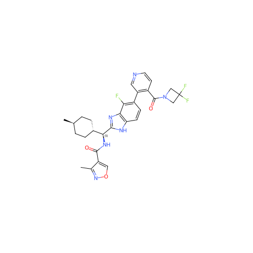 Cc1nocc1C(=O)N[C@H](c1nc2c(F)c(-c3cnccc3C(=O)N3CC(F)(F)C3)ccc2[nH]1)[C@H]1CC[C@H](C)CC1